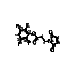 O=C(CCN1C(=O)C=CC1=O)Oc1c(F)c(F)cc(F)c1F